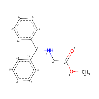 COC(=O)CNC(c1ccccc1)c1ccccc1